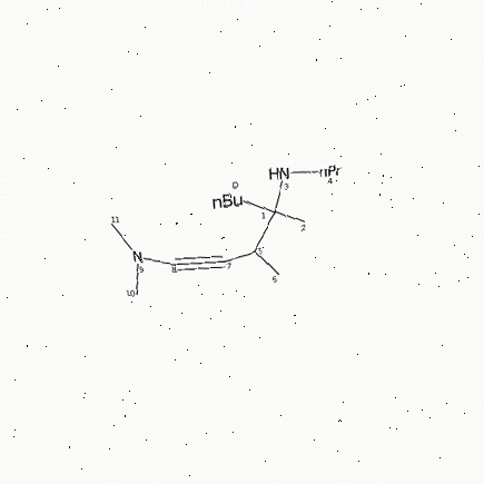 CCCCC(C)(NCCC)C(C)C#CN(C)C